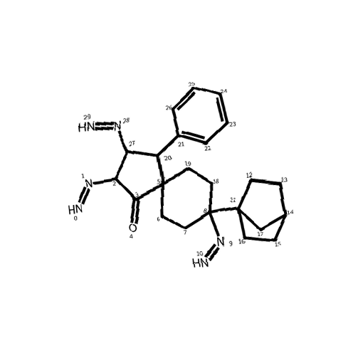 N=NC1C(=O)C2(CCC(N=N)(C34CCC(CC3)C4)CC2)C(c2ccccc2)C1N=N